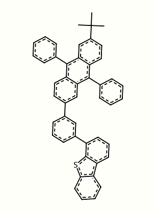 CC(C)(C)c1ccc2c(-c3ccccc3)c3cc(-c4cccc(-c5cccc6c5sc5ccccc56)c4)ccc3c(-c3ccccc3)c2c1